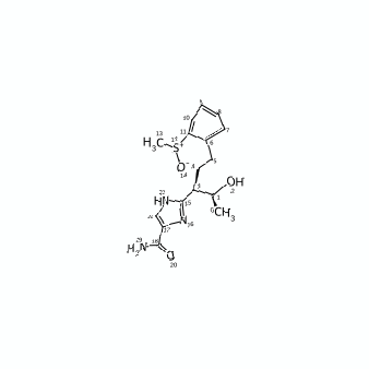 C[C@H](O)[C@H](CCc1ccccc1[S+](C)[O-])c1nc(C(N)=O)c[nH]1